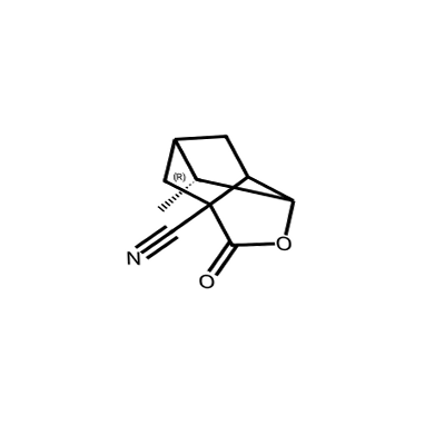 C[C@@H]1C2CC3C1OC(=O)C3(C#N)C2